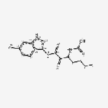 CCCCC(NC(=O)O)C(=O)C(=O)Nc1n[nH]c2cc(Cl)ccc12